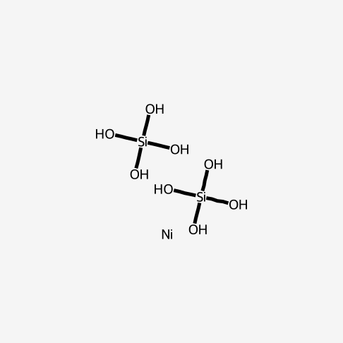 O[Si](O)(O)O.O[Si](O)(O)O.[Ni]